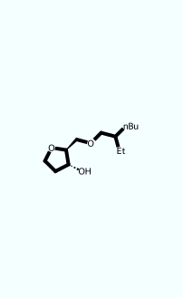 CCCCC(CC)COC[C@@H]1OCC[C@H]1O